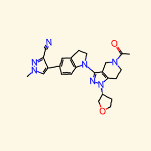 CC(=O)N1CCc2c(c(N3CCc4cc(-c5cn(C)nc5C#N)ccc43)nn2[C@H]2CCOC2)C1